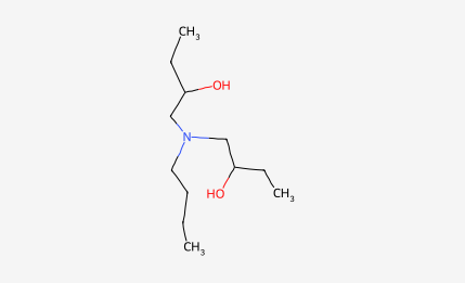 CCCCN(CC(O)CC)CC(O)CC